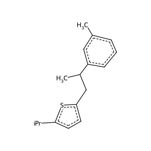 Cc1cccc(C(C)Cc2ccc(C(C)C)s2)c1